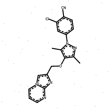 Cc1nn(-c2ccc(C#N)c(Cl)c2)c(C)c1OCc1cn2cccnc2n1